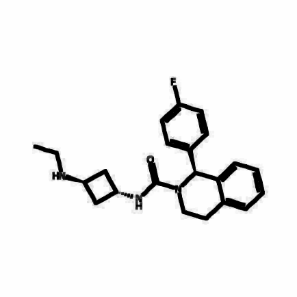 CCN[C@H]1C[C@H](NC(=O)N2CCc3ccccc3[C@@H]2c2ccc(F)cc2)C1